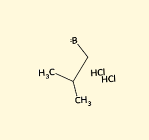 Cl.Cl.[B]CC(C)C